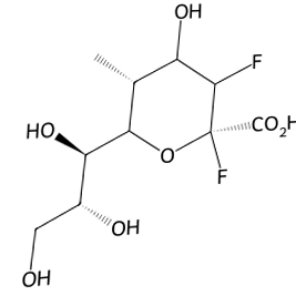 C[C@@H]1C(O)C(F)[C@](F)(C(=O)O)OC1[C@H](O)[C@H](O)CO